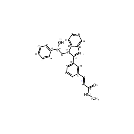 CNC(=O)/C=C/c1cccc(-c2nc3ccccc3n2C[C@@H](O)c2ccccc2)c1